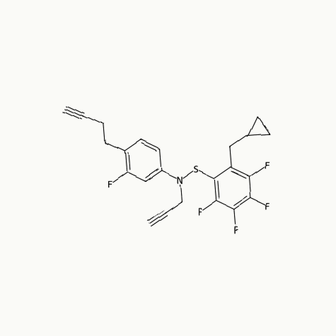 C#CCCc1ccc(N(CC#C)Sc2c(F)c(F)c(F)c(F)c2CC2CC2)cc1F